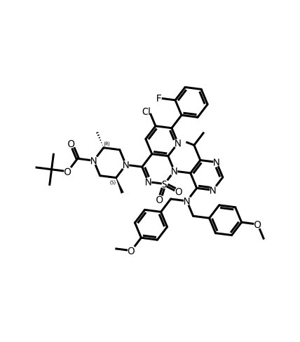 COc1ccc(CN(Cc2ccc(OC)cc2)c2ncnc(C(C)C)c2N2c3nc(-c4ccccc4F)c(Cl)cc3C(N3C[C@@H](C)N(C(=O)OC(C)(C)C)C[C@@H]3C)=NS2(=O)=O)cc1